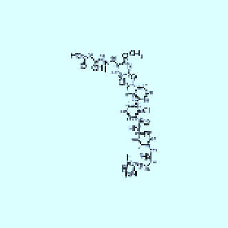 COc1nc(O[C@H]2CCc3c(-c4cccc(C(=O)Nc5ccc(CN6CCC(c7nnn[nH]7)C6)cn5)c4Cl)cccc32)c(Cl)cc1CNCC(O)CC(=O)O